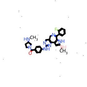 CBc1cc2c([nH]1)C(c1ccccc1F)=NCc1cnc(Nc3ccc(C(=O)N4CCC(NC)C4)cc3)nc1-2